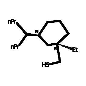 CCCC(CCC)[C@H]1CCC[C@@](CC)(CS)C1